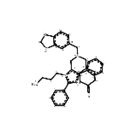 CCCCn1c(-c2ccccc2)nc(-c2ccccc2)c1CN(Cc1ccc2c(c1)OCO2)CC1CCC(=O)CC1